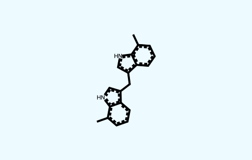 Cc1cccc2c(Cc3c[nH]c4c(C)cccc34)c[nH]c12